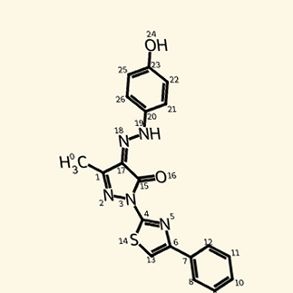 CC1=NN(c2nc(-c3ccccc3)cs2)C(=O)/C1=N\Nc1ccc(O)cc1